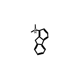 C[SiH](C)c1cccc2c1Cc1ccccc1-2